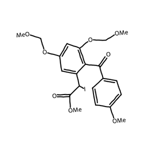 COCOc1cc(OCOC)c(C(=O)c2ccc(OC)cc2)c(C(I)C(=O)OC)c1